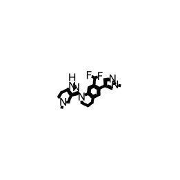 CN1CCc2[nH]nc(N3CCCc4cc(-c5cnn(C)c5)c(C(F)F)cc43)c2C1